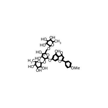 COc1ccc(-c2cc(=O)c3c(O)cc(O[C@@H]4OC(CO[C@@H]5OC(C)[C@H](O)C(O)[C@@H]5O)[C@@H](O)[C@H](O)C4O[C@@H]4OC(C)[C@H](O)C(O)[C@@H]4O)cc3o2)cc1